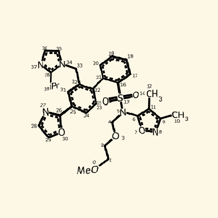 COCCOCN(c1onc(C)c1C)S(=O)(=O)c1ccccc1-c1ccc(-c2ncco2)cc1Cn1ccnc1C(C)C